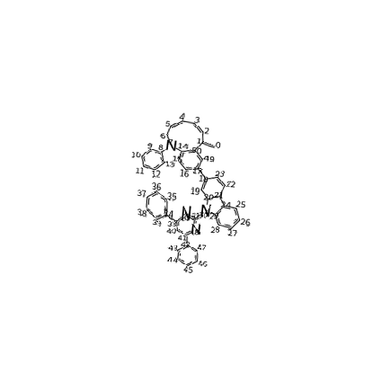 C=C1/C=C\C=C/CN(c2ccccc2)c2ccc(C3=CC4C(C=C3)c3ccccc3N4c3nc(-c4ccccc4)cc(-c4ccccc4)n3)cc21